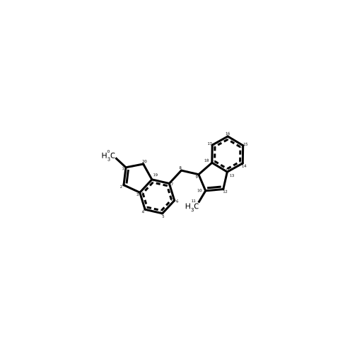 CC1=Cc2cccc(CC3C(C)=Cc4ccccc43)c2C1